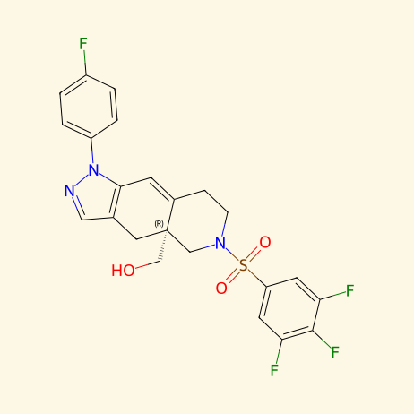 O=S(=O)(c1cc(F)c(F)c(F)c1)N1CCC2=Cc3c(cnn3-c3ccc(F)cc3)C[C@]2(CO)C1